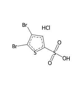 Cl.O=S(=O)(O)c1cc(Br)c(Br)s1